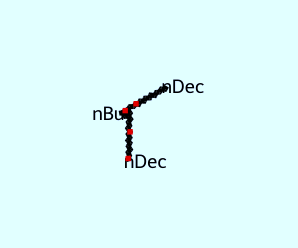 [CH2]CCCc1cc(CCCCCCCCCCCCCCCCCCCCCCCC)cc(CCCCCCCCCCCCCCCCCCCCCCCC)c1